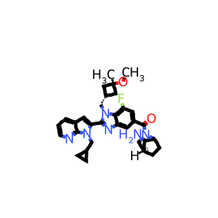 CO[C@]1(C)C[C@H](Cn2c(-c3cc4cccnc4n3CC3CC3)nc3cc(C(=O)N4C[C@H]5CCC4C5N)cc(F)c32)C1